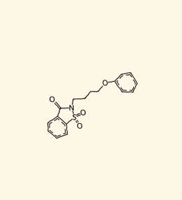 O=C1c2ccccc2S(=O)(=O)N1CCCCOc1ccccc1